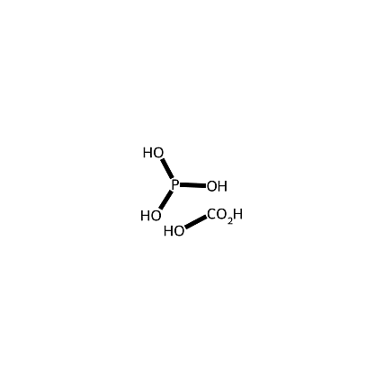 O=C(O)O.OP(O)O